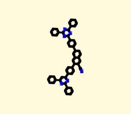 N#Cc1cc2ccc(-c3ccc(-c4nc(-c5ccccc5)nc(-c5ccccc5)n4)cc3)cc2cc1-c1ccc(-c2cc(-c3ccccc3)nc(-c3ccccc3)n2)cc1